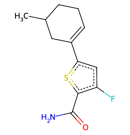 CC1CCC=C(c2cc(F)c(C(N)=O)s2)C1